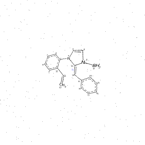 BN1C=CN(c2ccccc2C=C)/C1=C/c1ccccc1